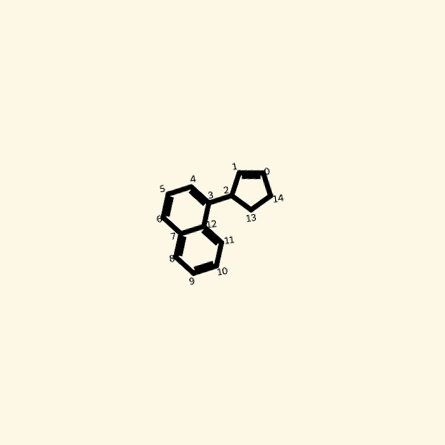 C1=CC(c2cccc3ccccc23)CC1